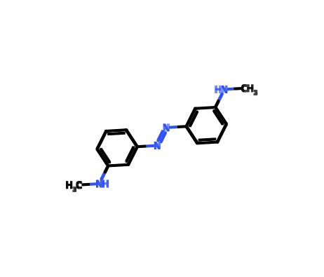 CNc1cccc(/N=N/c2cccc(NC)c2)c1